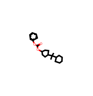 CC(C)(C1CC[CH]CC1)C1CCC(OC(=O)Oc2ccccc2)CC1